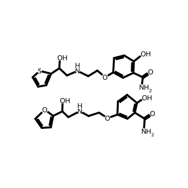 NC(=O)c1cc(OCCNCC(O)c2ccco2)ccc1O.NC(=O)c1cc(OCCNCC(O)c2cccs2)ccc1O